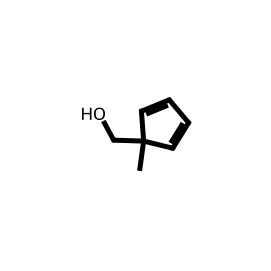 CC1(CO)C=CC=C1